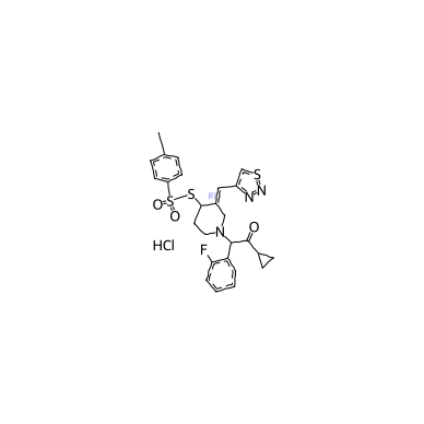 Cc1ccc(S(=O)(=O)SC2CCN(C(C(=O)C3CC3)c3ccccc3F)C/C2=C\c2csnn2)cc1.Cl